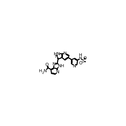 CS(=O)(=O)Nc1cncc(-c2cnc3[nH]nc(-c4nc5c(C(N)=O)ccnc5[nH]4)c3c2)c1